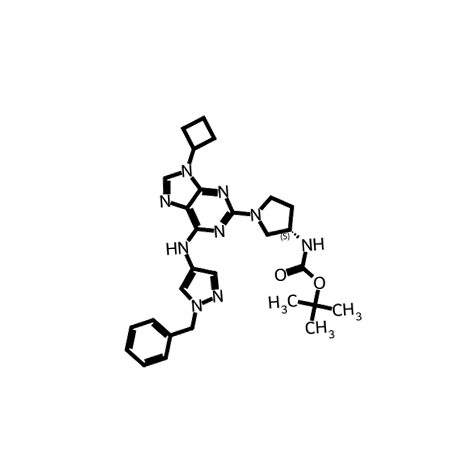 CC(C)(C)OC(=O)N[C@H]1CCN(c2nc(Nc3cnn(Cc4ccccc4)c3)c3ncn(C4CCC4)c3n2)C1